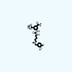 COc1cc(CN(C)CCCCNC(=O)Nc2cc(C(=O)N(C)C)cc(-c3nnnn3C)c2)ccc1F